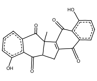 CC12C(=O)c3cccc(O)c3C(=O)C1CC1=C2C(=O)c2c(O)cccc2C1=O